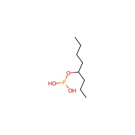 CCCCC(CCC)OP(O)O